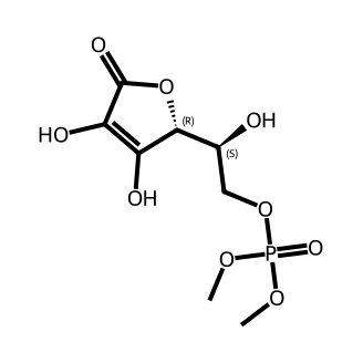 COP(=O)(OC)OC[C@H](O)[C@H]1OC(=O)C(O)=C1O